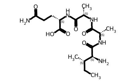 CC[C@H](C)[C@H](N)C(=O)N[C@@H](C)C(=O)N[C@@H](C)C(=O)N[C@@H](CCC(N)=O)C(=O)O